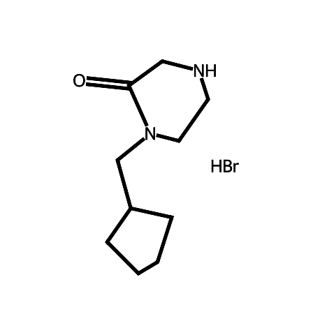 Br.O=C1CNCCN1CC1CCCC1